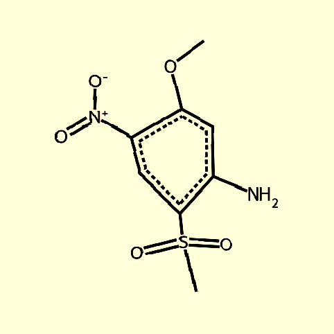 COc1cc(N)c(S(C)(=O)=O)cc1[N+](=O)[O-]